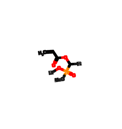 C=CC(=O)OC(CC)P(=O)(OC)OCC